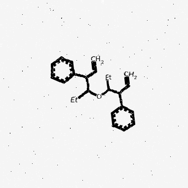 C=CC(c1ccccc1)C(CC)OC(CC)C(C=C)c1ccccc1